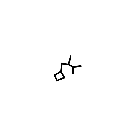 CC(C)C(C)CC1CCC1